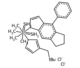 CC(C)(C)CC1=C[CH]([Zr]([CH3])([CH3])([CH3])([CH3])(=[SiH2])(=[SiH2])[CH]2C=Cc3c2cc2c(c3-c3ccccc3)CCC2)C=C1.[Cl-].[Cl-]